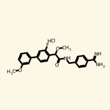 COc1cccc(-c2ccc(C(OC)C(=O)NCc3ccc(C(=N)N)cc3)c(F)c2)c1.Cl